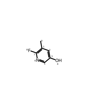 Cc1cc(O)cnc1F